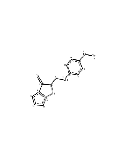 CCOc1ccc(NCC2Cn3cccc3C2=O)cc1